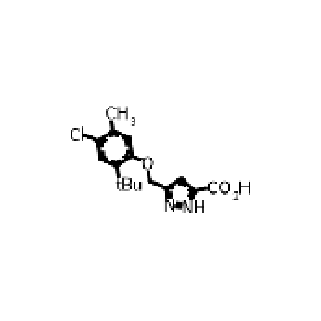 Cc1cc(OCc2cc(C(=O)O)[nH]n2)c(C(C)(C)C)cc1Cl